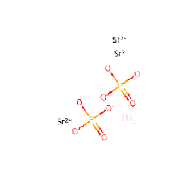 B.O=P([O-])([O-])[O-].O=P([O-])([O-])[O-].[Sr+2].[Sr+2].[Sr+2]